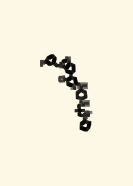 CC(C)(CN[C@H]1CC[C@H](Nc2cc(-c3ccc4ncn(Cc5cccc(F)c5)c4c3)c(Cl)cn2)CC1)C[S+]([O-])c1ccccc1